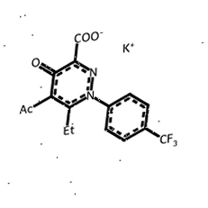 CCc1c(C(C)=O)c(=O)c(C(=O)[O-])nn1-c1ccc(C(F)(F)F)cc1.[K+]